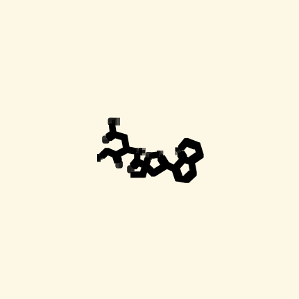 CCC1(C(=O)NC(CC(=O)O)C(=O)CF)CC(c2cccc3cccnc23)=NO1